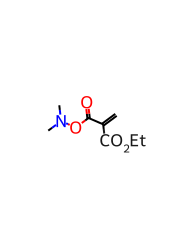 C=C(C(=O)OCC)C(=O)ON(C)C